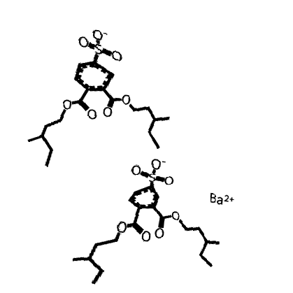 CCC(C)CCOC(=O)c1ccc(S(=O)(=O)[O-])cc1C(=O)OCCC(C)CC.CCC(C)CCOC(=O)c1ccc(S(=O)(=O)[O-])cc1C(=O)OCCC(C)CC.[Ba+2]